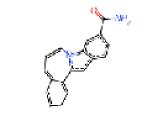 NC(=O)c1ccc2cc3n(c2c1)C=CC=C1C=CCC=C13